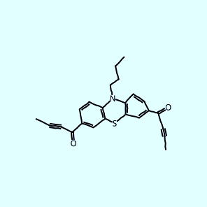 CC#CC(=O)c1ccc2c(c1)Sc1cc(C(=O)C#CC)ccc1N2CCCC